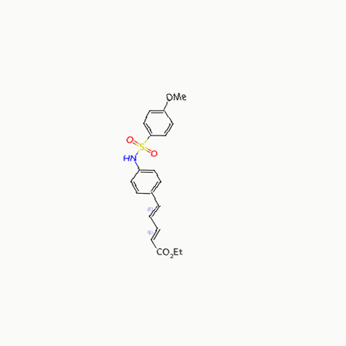 CCOC(=O)/C=C/C=C/c1ccc(NS(=O)(=O)c2ccc(OC)cc2)cc1